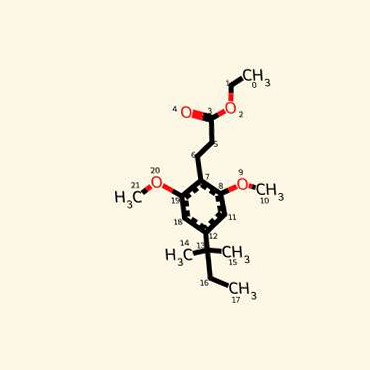 CCOC(=O)CCc1c(OC)cc(C(C)(C)CC)cc1OC